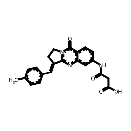 Cc1ccc(C=C2CCn3c2nc2cc(NC(=O)CC(=O)O)ccc2c3=O)cc1